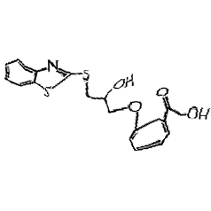 O=C(O)c1ccccc1OCC(O)CSc1nc2ccccc2s1